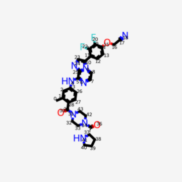 Cc1cc(Nc2nccn3c(-c4ccc(OCC#N)c(F)c4F)cnc23)ccc1C(=O)N1CCN(C(=O)[C@@H]2CCCN2)CC1